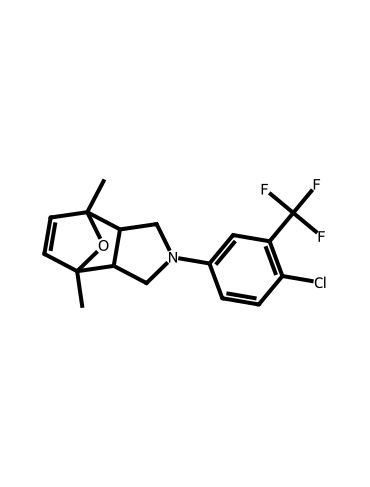 CC12C=CC(C)(O1)C1CN(c3ccc(Cl)c(C(F)(F)F)c3)CC12